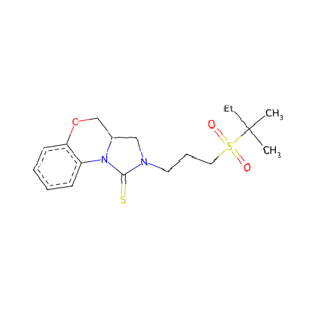 CCC(C)(C)S(=O)(=O)CCCN1CC2COc3ccccc3N2C1=S